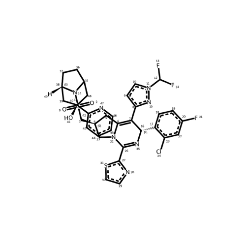 O=S(=O)(C[C@H]1CC2=C(c3ccn(C(F)F)n3)[C@H](c3ccc(F)cc3Cl)N=C(c3nccs3)N2C1)N1C2CC[C@H]1C[C@@](O)(c1ccccn1)C2